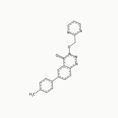 Cc1ccc(-c2ccc3nnn(OCc4ncccn4)c(=O)c3c2)cc1